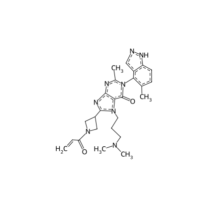 C=CC(=O)N1CC(c2nc3nc(C)n(-c4c(C)ccc5[nH]ncc45)c(=O)c3n2CCCN(C)C)C1